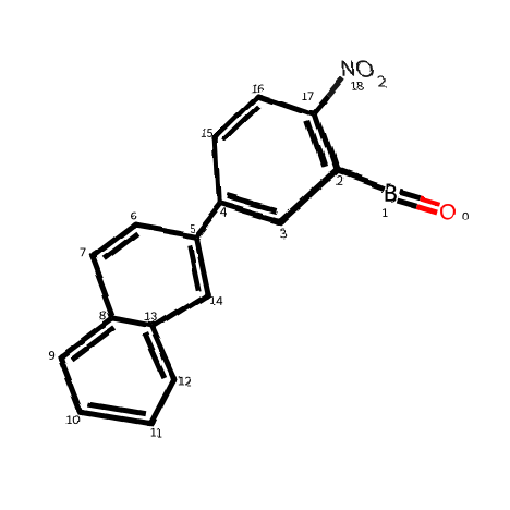 O=Bc1cc(-c2ccc3ccccc3c2)ccc1[N+](=O)[O-]